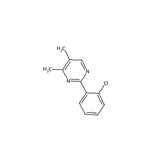 Cc1cnc(-c2ccccc2Cl)nc1C